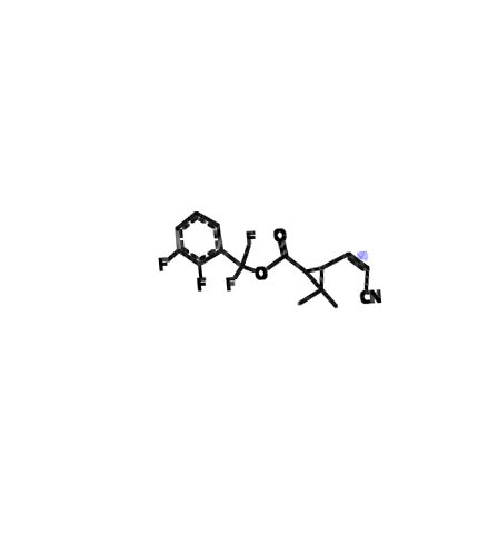 CC1(C)C(/C=C\C#N)C1C(=O)OC(F)(F)c1cccc(F)c1F